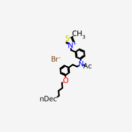 CCCCCCCCCCCCCCOc1cccc(CCN(C(C)=O)c2cccc(C[n+]3csc(C)c3)c2)c1.[Br-]